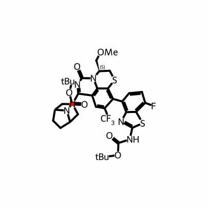 COC[C@H]1CSc2c(-c3ccc(F)c4sc(NC(=O)OC(C)(C)C)nc34)c(C(F)(F)F)cc3c(N4CC5CCC(C4)N5C(=O)OC(C)(C)C)nc(=O)n1c23